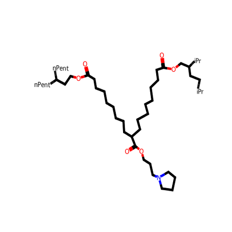 CCCCCC(CCCCC)CCOC(=O)CCCCCCCCC(CCCCCCCCC(=O)OCC(CCC(C)C)C(C)C)C(=O)OCCCN1CCCC1